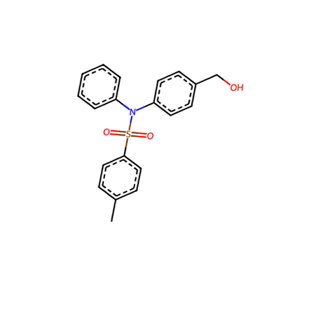 Cc1ccc(S(=O)(=O)N(c2ccccc2)c2ccc(CO)cc2)cc1